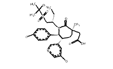 CC[C@@H](CS(=O)(=O)C(C)(C)C)N1C(=O)[C@@](C)(CC(=O)O)C[C@H](c2cncc(Cl)c2)[C@H]1c1ccc(Cl)cc1